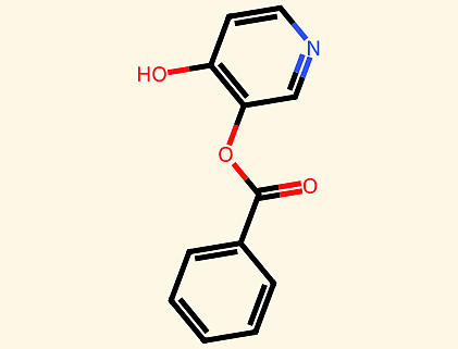 O=C(Oc1cnccc1O)c1ccccc1